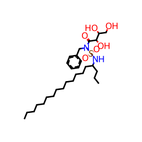 CCCCCCCCCCCCCCC(CCC)NS(=O)(=O)N(Cc1ccccc1)C(=O)C(O)C(O)CO